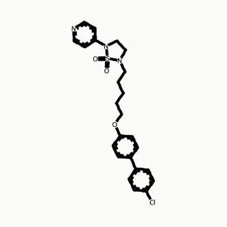 O=S1(=O)N(CCCCCOc2ccc(-c3ccc(Cl)cc3)cc2)CCN1c1ccncc1